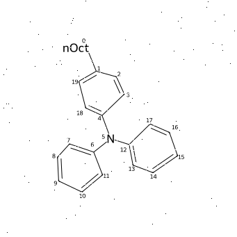 CCCCCCCCc1ccc(N(c2ccccc2)c2ccccc2)cc1